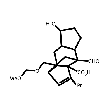 COCOCC12CC3C(C)CCC3C3(C=O)CC1C=C(C(C)C)C32C(=O)O